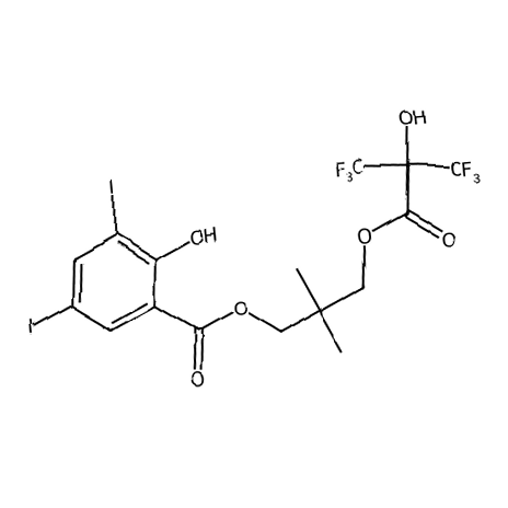 CC(C)(COC(=O)c1cc(I)cc(I)c1O)COC(=O)C(O)(C(F)(F)F)C(F)(F)F